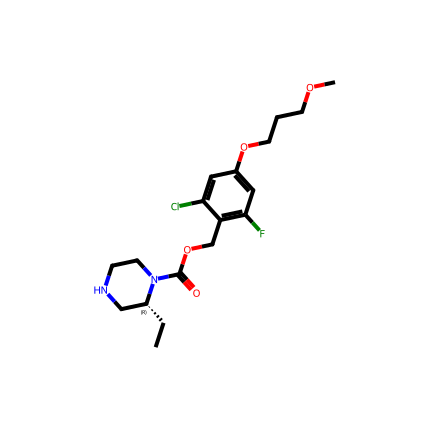 CC[C@@H]1CNCCN1C(=O)OCc1c(F)cc(OCCCOC)cc1Cl